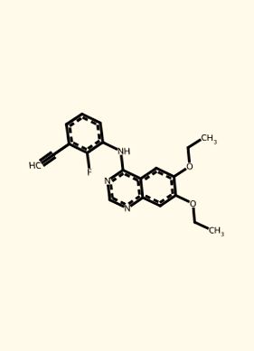 C#Cc1cccc(Nc2ncnc3cc(OCC)c(OCC)cc23)c1F